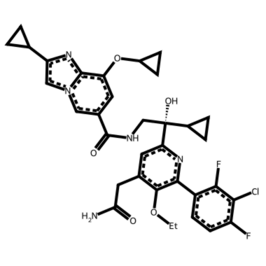 CCOc1c(CC(N)=O)cc([C@@](O)(CNC(=O)c2cc(OC3CC3)c3nc(C4CC4)cn3c2)C2CC2)nc1-c1ccc(F)c(Cl)c1F